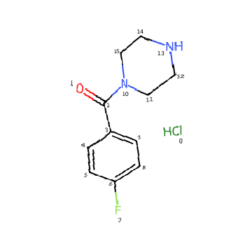 Cl.O=C(c1ccc(F)cc1)N1CCNCC1